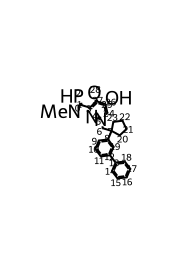 CNC(=P)c1nn(CC2(c3cccc(-c4ccccc4)c3)CCCC2)cc(O)c1=O